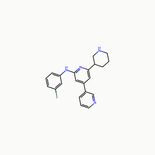 Fc1cccc(Nc2cc(-c3cccnc3)cc(C3CCCNC3)n2)c1